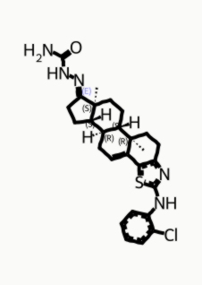 C[C@]12CCc3nc(Nc4ccccc4Cl)sc3C1=CC[C@@H]1[C@@H]2CC[C@]2(C)/C(=N/NC(N)=O)CC[C@@H]12